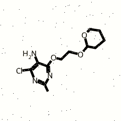 Cc1nc(Cl)c(N)c(OCCOC2CCCCO2)n1